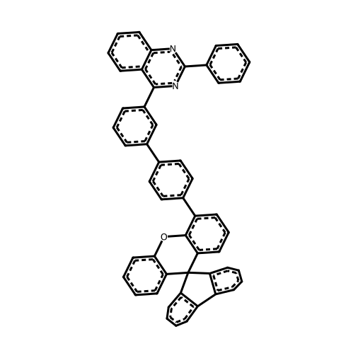 c1ccc(-c2nc(-c3cccc(-c4ccc(-c5cccc6c5Oc5ccccc5C65c6ccccc6-c6ccccc65)cc4)c3)c3ccccc3n2)cc1